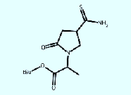 CC(C(=O)OC(C)(C)C)N1CC(C(N)=S)CC1=O